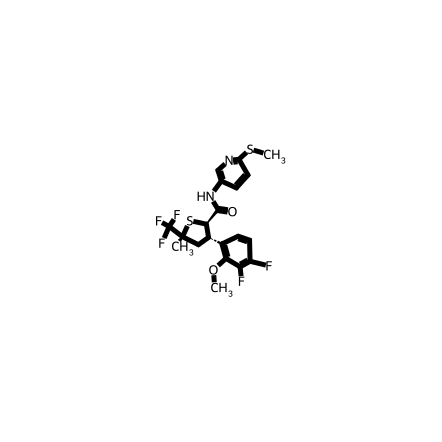 COc1c([C@@H]2C[C@](C)(C(F)(F)F)S[C@H]2C(=O)Nc2ccc(SC)nc2)ccc(F)c1F